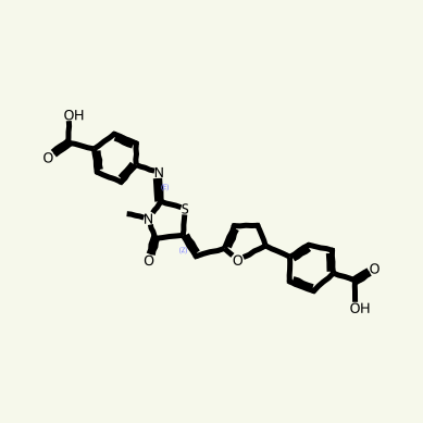 CN1C(=O)/C(=C/C2=CCC(c3ccc(C(=O)O)cc3)O2)S/C1=N/c1ccc(C(=O)O)cc1